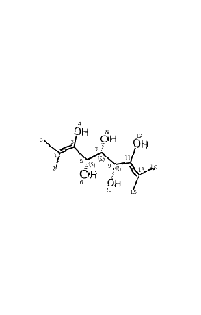 CC(C)=C(O)[C@@H](O)[C@H](O)[C@@H](O)C(O)=C(C)C